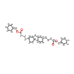 O=C(CCCc1ccc2c(c1)Cc1cc(CCCC(=O)OCc3ccccc3)ccc1-2)OCc1ccccc1